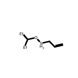 C=CC[SiH2]OC(CC)CC